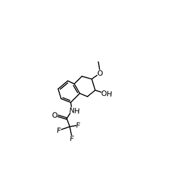 COC1Cc2cccc(NC(=O)C(F)(F)F)c2CC1O